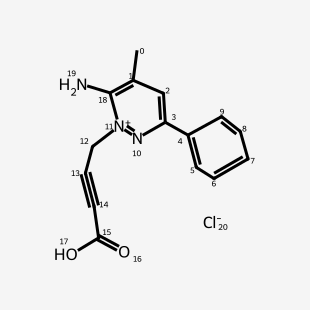 Cc1cc(-c2ccccc2)n[n+](CC#CC(=O)O)c1N.[Cl-]